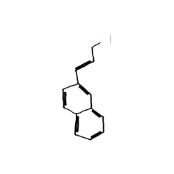 ClCC=Cc1ccc2ccccc2c1